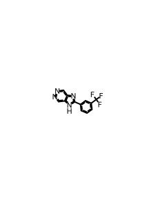 FC(F)(F)c1cccc(-c2nc3cnncc3[nH]2)c1